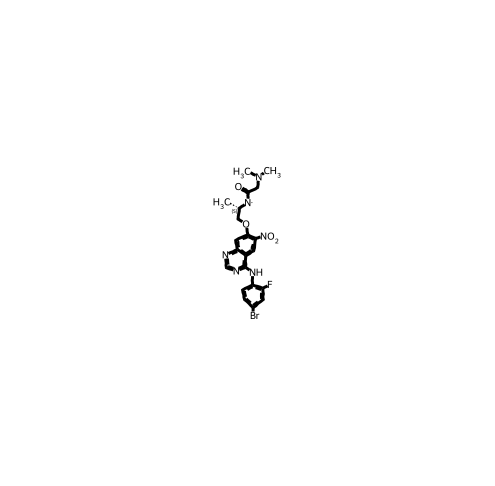 C[C@@H](COc1cc2ncnc(Nc3ccc(Br)cc3F)c2cc1[N+](=O)[O-])[N]C(=O)CN(C)C